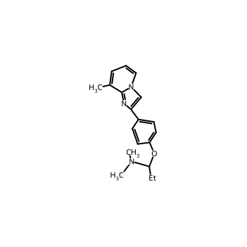 CCC(Oc1ccc(-c2cn3cccc(C)c3n2)cc1)N(C)C